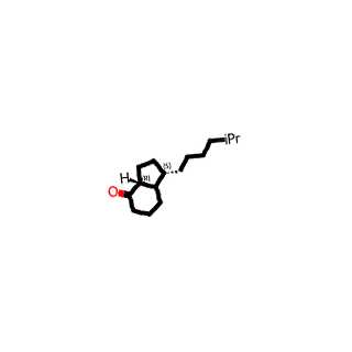 CC(C)CCCC[C@H]1CC[C@H]2C(=O)CCCC12